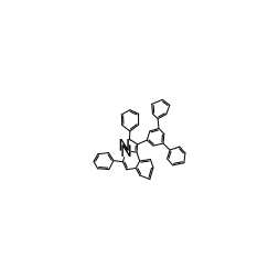 c1ccc(-c2cc(-c3ccccc3)cc(-c3c(-c4ccccc4)nn4c(-c5ccccc5)cc5ccccc5c34)c2)cc1